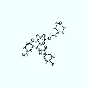 CC(=O)c1ccc2c(c1)[C@@H](NC(=O)c1ccc(F)cc1)[C@@H](OC(=O)OCCN1CCOCC1)C(C)(C)O2